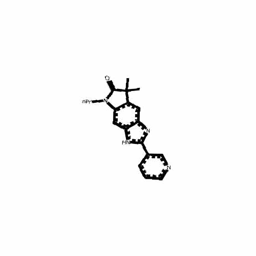 CCCN1C(=O)C(C)(C)c2cc3nc(-c4cccnc4)[nH]c3cc21